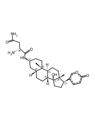 C[C@]12CC[C@H](NC(=O)[C@H](N)CC(N)=O)C[C@H]1CC[C@@H]1[C@@H]2CC[C@]2(C)[C@@H](c3ccc(=O)oc3)CC[C@]12O